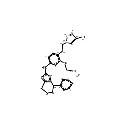 CCOc1cc(Nc2nc3c(s2)CCCC3c2ccccc2)ccc1CCN1[C+]=NC(C)=C1.[I-]